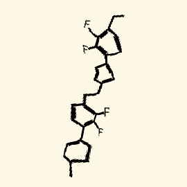 CCc1ccc(-c2ccc(CCc3ccc(C4=CCC(C)CC4)c(F)c3F)cc2)c(F)c1F